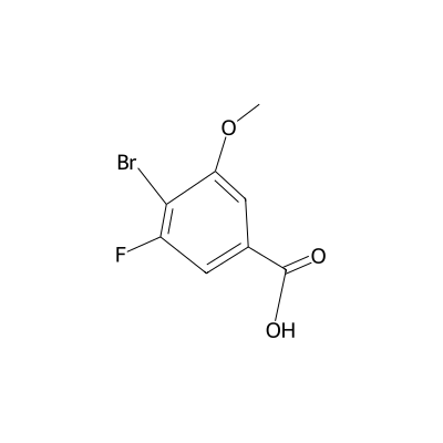 COc1cc(C(=O)O)cc(F)c1Br